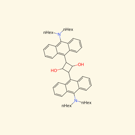 CCCCCCN(CCCCCC)c1c2ccccc2c(C2C(O)C(c3c4ccccc4c(N(CCCCCC)CCCCCC)c4ccccc34)C2O)c2ccccc12